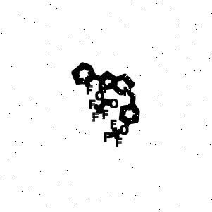 O=C(On1c(-c2ccccc2F)cc2c1CN(Cc1ccc(OC(F)(F)F)cc1)C=C2)C(F)(F)F